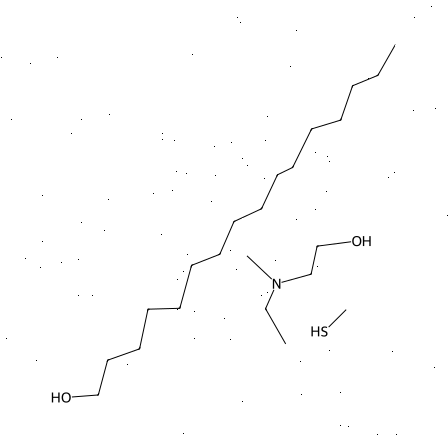 CCCCCCCCCCCCCCCCO.CCN(C)CCO.CS